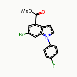 COC(=O)c1cc(Br)cc2c1ccn2-c1ccc(F)cc1